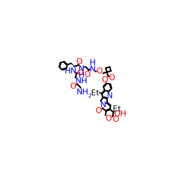 CCc1c2c(nc3ccc(OC(=O)C4(COCNC(=O)CNC(=O)[C@H](Cc5ccccc5)NC(=O)CNC(=O)CN)CCC4)cc13)-c1cc3c(c(=O)n1C2)COC(=O)C3(O)CC